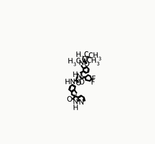 CN(Cc1ccccc1CN(CC(=O)Nc1ccc2c(c1)C[C@@]1(C2)C(=O)Nc2ncccc21)C(=O)C1(C)CCC(F)(F)CC1)C(=O)OC(C)(C)C